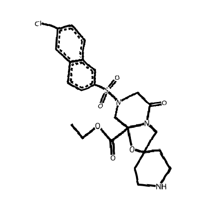 CCOC(=O)C12CN(S(=O)(=O)c3ccc4cc(Cl)ccc4c3)CC(=O)N1CC1(CCNCC1)O2